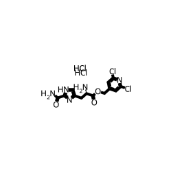 Cl.Cl.NC(=O)c1nc(C[C@H](N)C(=O)OCc2cc(Cl)nc(Cl)c2)c[nH]1